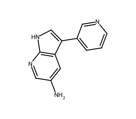 Nc1cnc2[nH]cc(-c3cccnc3)c2c1